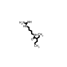 CCCC(CC)C(=O)NCCCCNC(=N)N